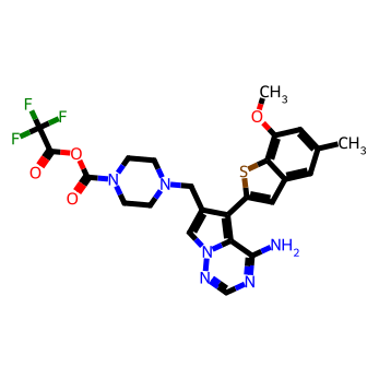 COc1cc(C)cc2cc(-c3c(CN4CCN(C(=O)OC(=O)C(F)(F)F)CC4)cn4ncnc(N)c34)sc12